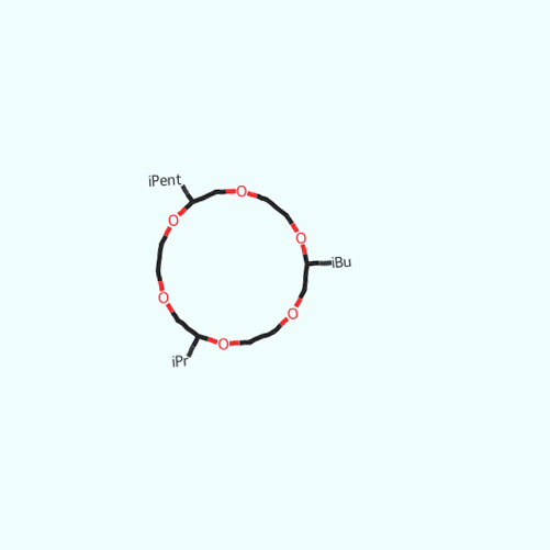 CCCC(C)C1COCCOC(C(C)CC)COCCOC(C(C)C)COCCO1